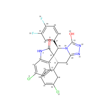 O=C1Nc2cc(Cl)ccc2[C@@]12C(C1C=CC=C(Cl)C1)Cc1nnc(O)n1[C@@H]2c1ccc(F)c(F)c1